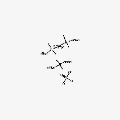 CCCCCCCCC[N+](C)(C)CCCCCCCCC.CCCCCCCCC[N+](C)(C)CCCCCCCCC.CCCCCCCCC[N+](C)(C)CCCCCCCCC.O=P([O-])([O-])[O-]